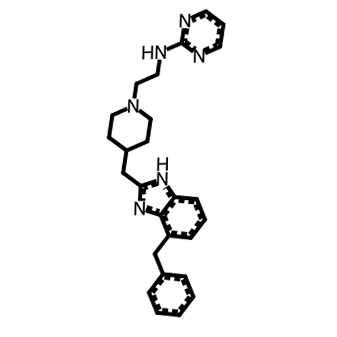 c1ccc(Cc2cccc3[nH]c(CC4CCN(CCNc5ncccn5)CC4)nc23)cc1